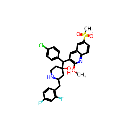 COc1nc2ccc(S(C)(=O)=O)cc2cc1C(c1ccc(Cl)cc1)C1(O)CCNC(Cc2ccc(F)cc2F)C1